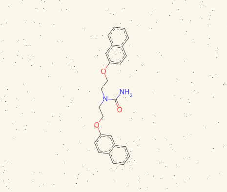 NC(=O)N(CCOc1ccc2ccccc2c1)CCOc1ccc2ccccc2c1